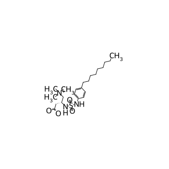 CCCCCCCCCc1ccc(NS(=O)(=O)N[C@H](CC(=O)[O-])C[N+](C)(C)C)cc1